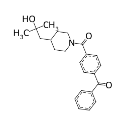 CC(C)(O)CC1CCN(C(=O)c2ccc(C(=O)c3ccccc3)cc2)CC1